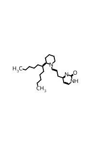 CCCCCC(CCCCC)=C1CCCCN1C=CCc1cc[nH]c(=O)n1